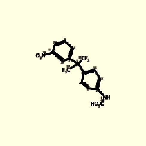 O=C(O)Nc1ccc(C(c2cccc([N+](=O)[O-])c2)(C(F)(F)F)C(F)(F)F)cc1